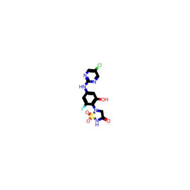 O=C1CN(c2c(O)cc(Nc3ncc(Cl)cn3)cc2F)S(=O)(=O)N1